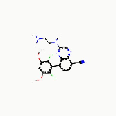 COc1cc(OC)c(Cl)c(-c2ccc(C#N)c3ncc(N(C)CCN(C)C)nc23)c1Cl